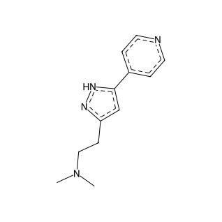 CN(C)CCc1cc(-c2ccncc2)[nH]n1